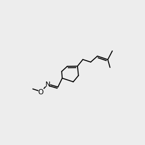 CO/N=C/C1CC=C(CCC=C(C)C)CC1